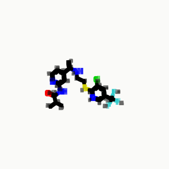 C=C(NCCSc1ncc(C(F)(F)F)cc1Cl)c1ccnc(NC(=O)C(C)C)c1